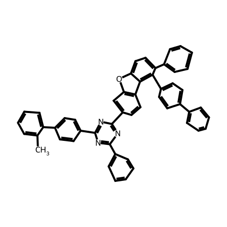 Cc1ccccc1-c1ccc(-c2nc(-c3ccccc3)nc(-c3ccc4c(c3)oc3ccc(-c5ccccc5)c(-c5ccc(-c6ccccc6)cc5)c34)n2)cc1